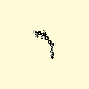 CC(C)(C)OC(=O)COCCCCNc1ccc(-c2ccc(N3C(=S)N(c4ccc(C#N)c(C(F)(F)F)c4)C(=O)C3(C)C)cc2)cc1